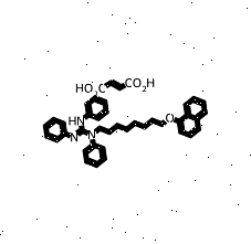 O=C(O)C=CC(=O)O.c1ccc(N=C(Nc2ccccc2)N(CCCCCCCCOc2cccc3ccccc23)c2ccccc2)cc1